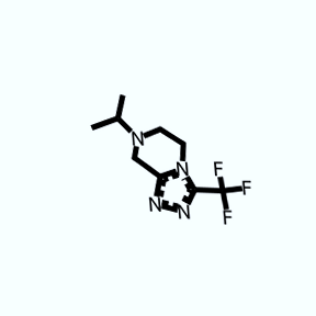 CC(C)N1CCn2c(nnc2C(F)(F)F)C1